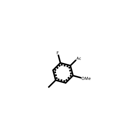 COc1cc(C)cc(F)c1C(C)=O